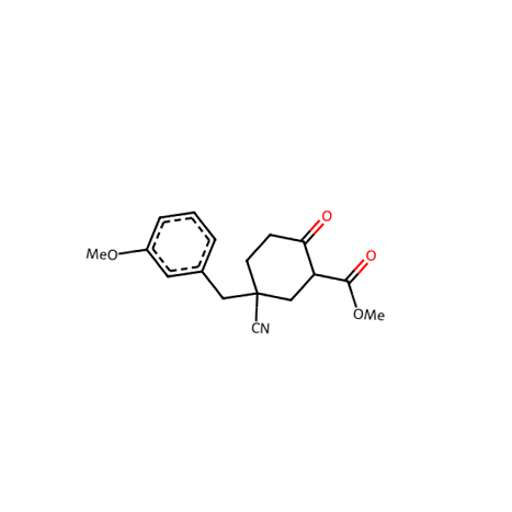 COC(=O)C1CC(C#N)(Cc2cccc(OC)c2)CCC1=O